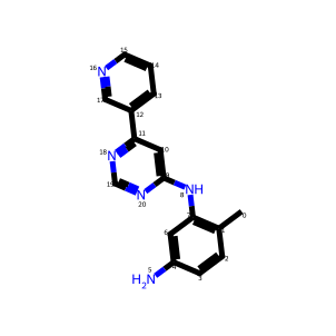 Cc1ccc(N)cc1Nc1cc(-c2cccnc2)ncn1